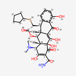 CN(C)[C@@H]1C(O)=C(C(N)=O)C(=O)[C@@]2(O)C(O)=C3C(=O)c4c(O)cccc4[C@H](CSC4CCCC4)[C@H]3[C@H](OC=O)[C@@H]12